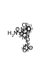 NC(=O)c1sc2nc(OCCN3CCOCC3=O)nc(-c3cccc(Cl)c3)c2c1N